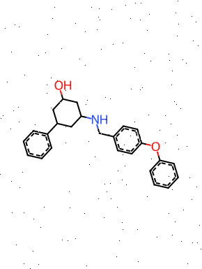 OC1CC(NCc2ccc(Oc3ccccc3)cc2)CC(c2ccccc2)C1